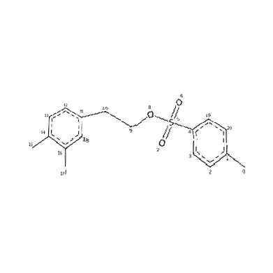 Cc1ccc(S(=O)(=O)OCCc2ccc(C)c(C)c2)cc1